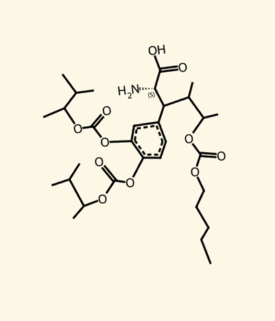 CCCCCOC(=O)OC(C)C(C)C(c1ccc(OC(=O)OC(C)C(C)C)c(OC(=O)OC(C)C(C)C)c1)[C@H](N)C(=O)O